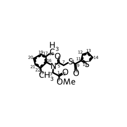 COC(=O)CN(C(=O)CSC(=O)c1cccs1)c1c(C)cccc1C